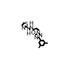 Cc1cc(C)cc(-c2ncn(/C=C\C(=O)NNc3nccs3)n2)c1